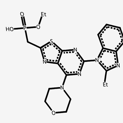 CCOP(=O)(O)Cc1nc2c(N3CCOCC3)nc(-n3c(CC)nc4ccccc43)nc2s1